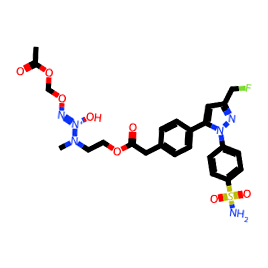 CC(=O)OCO/N=[N+](\O)N(C)CCOC(=O)Cc1ccc(-c2cc(CF)nn2-c2ccc(S(N)(=O)=O)cc2)cc1